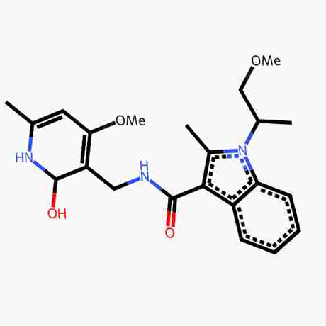 COCC(C)n1c(C)c(C(=O)NCC2=C(OC)C=C(C)NC2O)c2ccccc21